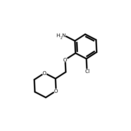 Nc1cccc(Cl)c1OCC1OCCCO1